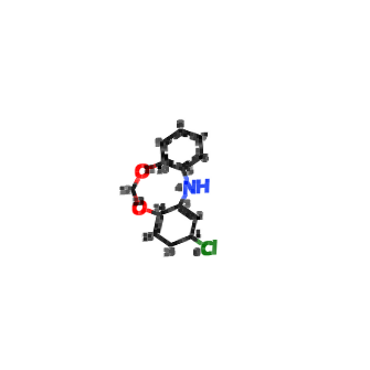 ClC1C=C2Nc3ccccc3OCOC2=CC1